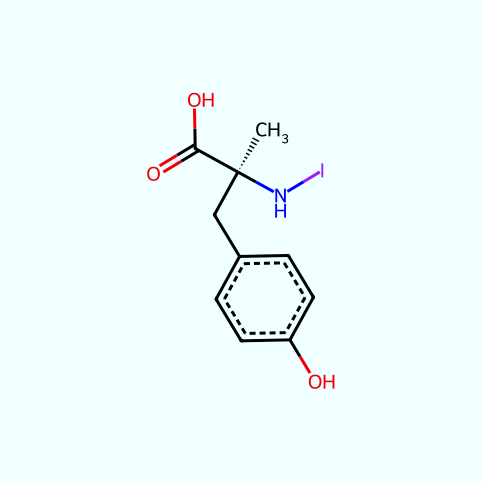 C[C@@](Cc1ccc(O)cc1)(NI)C(=O)O